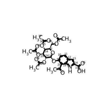 CC(=O)OC[C@H]1O[C@@H](Oc2ccc3cc(C(=O)O)[nH]c3c2C(C)=O)[C@H](OC(C)=O)[C@@H](OC(C)=O)[C@H]1OC(C)=O